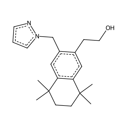 CC1(C)CCC(C)(C)c2cc(Cn3cccn3)c(CCO)cc21